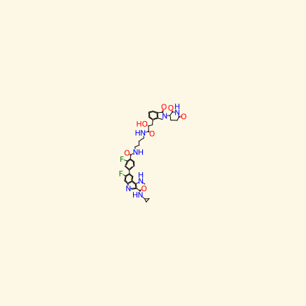 CNc1c(C(=O)NC2CC2)cnc2cc(F)c(-c3ccc(C(=O)NCCCCNC(=O)C(O)Cc4cccc5c4CN(C4CCC(=O)NC4=O)C5=O)c(F)c3)cc12